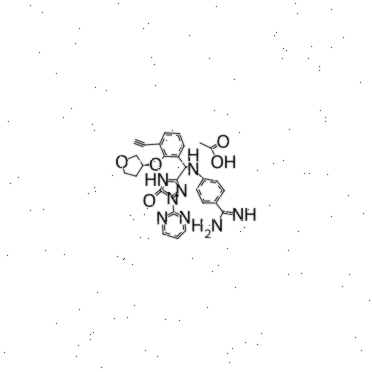 C#Cc1cccc([C@H](Nc2ccc(C(=N)N)cc2)c2nn(-c3ncccn3)c(=O)[nH]2)c1O[C@H]1CCOC1.CC(=O)O